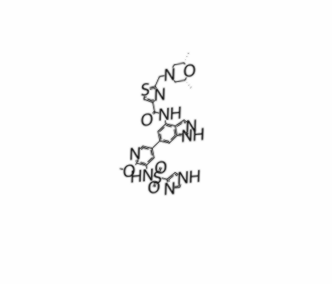 COc1ncc(-c2cc(NC(=O)c3csc(CN4C[C@@H](C)O[C@@H](C)C4)n3)c3cn[nH]c3c2)cc1NS(=O)(=O)c1c[nH]cn1